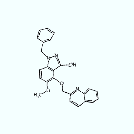 COc1ccc2c(c(O)nn2Cc2ccccc2)c1OCc1ccc2ccccc2n1